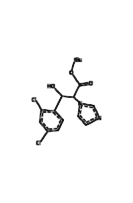 CC(C)(C)OC(=O)C(C(O)c1ccc(Cl)cc1Cl)n1ccnc1